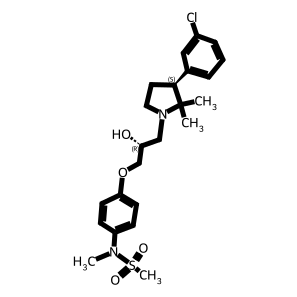 CN(c1ccc(OC[C@H](O)CN2CC[C@@H](c3cccc(Cl)c3)C2(C)C)cc1)S(C)(=O)=O